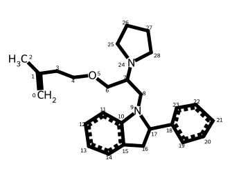 C=C(C)CCOCC(CN1c2ccccc2CC1c1ccccc1)N1CCCC1